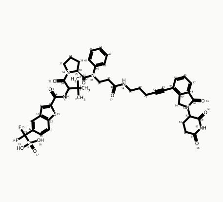 CC(C)(C)C(NC(=O)c1cc2cc(C(F)(F)P(=O)(O)O)ccc2s1)C(=O)N1CCC[C@H]1C(=O)N(CCC(=O)NCCCC#Cc1cccc2c1CN(C1CCC(=O)NC1=O)C2=O)c1ccccc1